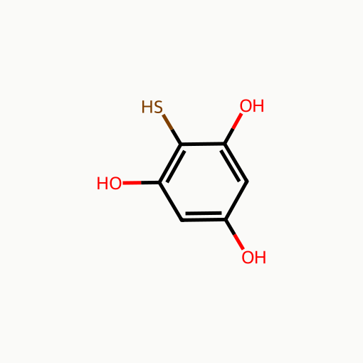 Oc1cc(O)c(S)c(O)c1